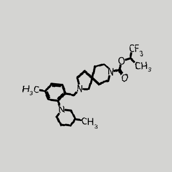 Cc1ccc(CN2CCC3(CCN(C(=O)OC(C)C(F)(F)F)CC3)C2)c(N2CCCC(C)C2)c1